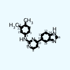 Cc1ccc(Nc2nccc(-c3ccc4[nH]cnc4c3)n2)cc1C